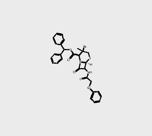 CC1(Br)CS[C@H]2C(NC(=O)COc3ccccc3)C(=O)N2C1C(=O)OC(c1ccccc1)c1ccccc1